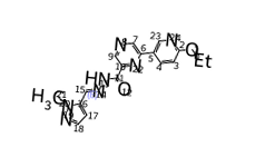 CCOc1ccc(-c2cncc(C(=O)N/N=C/c3ccnn3C)n2)cn1